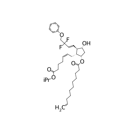 C=CCCCCCCCCC(=O)O[C@H]1C[C@@H](O)[C@H](/C=C/C(F)(F)COc2ccccc2)[C@H]1C/C=C\CCCC(=O)OC(C)C